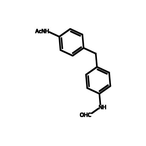 CC(=O)Nc1ccc(Cc2ccc(NC=O)cc2)cc1